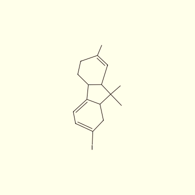 CC1=CC2C(CC1)C1=CC=C(I)CC1C2(C)C